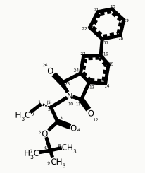 CC[C@@H](C(=O)OC(C)(C)C)N1C(=O)c2ccc(-c3ccccc3)cc2C1=O